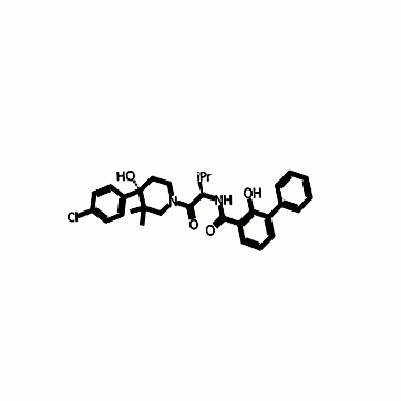 CC(C)[C@@H](NC(=O)c1cccc(-c2ccccc2)c1O)C(=O)N1CC[C@](O)(c2ccc(Cl)cc2)C(C)(C)C1